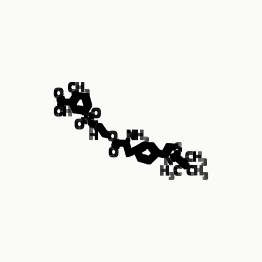 Cc1ccc(S(=O)(=O)NCCOC(=O)[C@@H](N)Cc2ccc(-c3csc(C(C)(C)C)n3)cc2)cc1C(=O)O